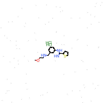 COCCNCc1cccc(NC(=N)c2cccs2)c1.Cl.Cl